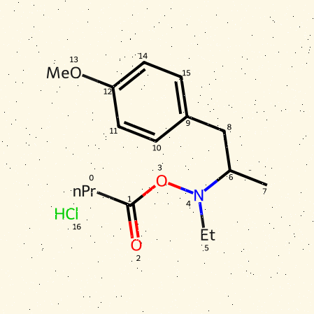 CCCC(=O)ON(CC)C(C)Cc1ccc(OC)cc1.Cl